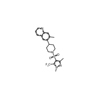 Cc1cc2ncccc2cc1C1CCN(S(=O)(=O)c2c(C)nn(C)c2C(F)(F)F)CC1